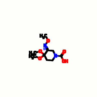 CO/N=C1\CN(C(=O)O)CCC1(OC)OC